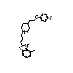 Cc1cccc2nc(CCCN3CCC(CCOc4ccc(F)cc4)CC3)n(C)c12